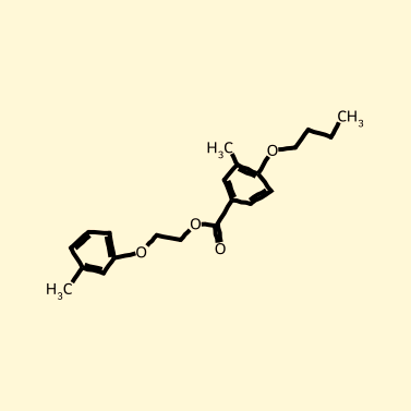 CCCCOc1ccc(C(=O)OCCOc2cccc(C)c2)cc1C